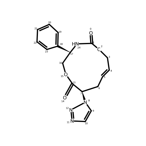 O=C1CC/C=C/C[C@@H](n2ccnn2)C(=O)OC[C@@H](c2ccccc2)N1